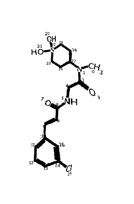 CN(C(=O)CNC(=O)C=Cc1cccc(Cl)c1)C1CCS(O)(O)CC1